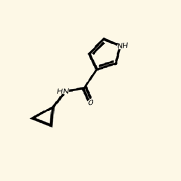 O=C(NC1CC1)c1cc[nH]c1